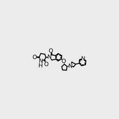 O=C1CCC(N2Cc3cc(O[C@H]4CCC[C@@H]4N4CC(c5cccnc5)C4)ccc3C2=O)C(=O)N1